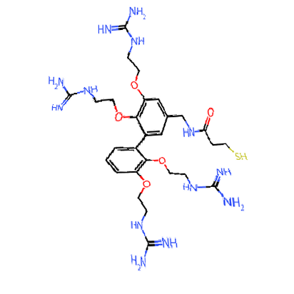 N=C(N)NCCOc1cccc(-c2cc(CNC(=O)CCS)cc(OCCNC(=N)N)c2OCCNC(=N)N)c1OCCNC(=N)N